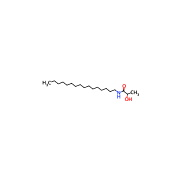 CCCCCCCCCCCCCCCCNC(=O)C(C)O